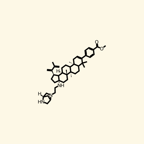 C=C(C)C(=C)[C@@H]1CC[C@]2(NCCN3C[C@@H]4CC3CN4)CC[C@]3(C)[C@H](CCC4[C@@]5(C)CC=C(c6ccc(C(=O)OC)cc6)C(C)(C)C5CC[C@]43C)C12